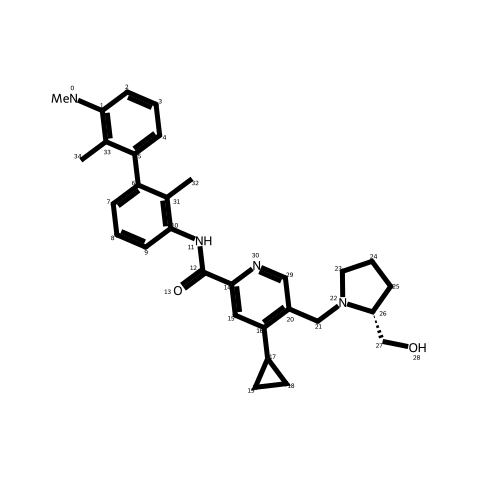 CNc1cccc(-c2cccc(NC(=O)c3cc(C4CC4)c(CN4CCC[C@@H]4CO)cn3)c2C)c1C